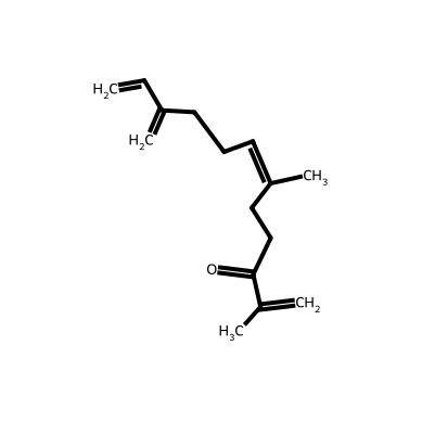 C=CC(=C)CCC=C(C)CCC(=O)C(=C)C